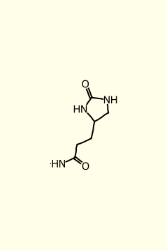 [NH]C(=O)CCC1CNC(=O)N1